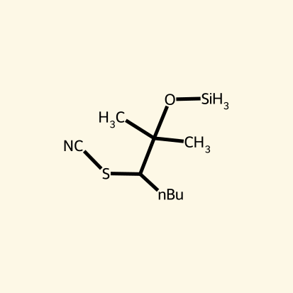 CCCCC(SC#N)C(C)(C)O[SiH3]